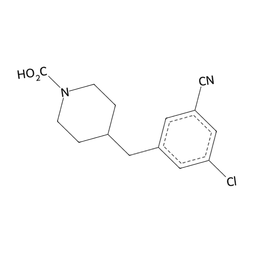 N#Cc1cc(Cl)cc(CC2CCN(C(=O)O)CC2)c1